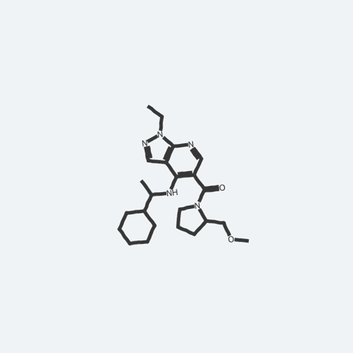 CCn1ncc2c(NC(C)C3CCCCC3)c(C(=O)N3CCCC3COC)cnc21